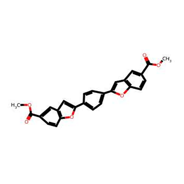 COC(=O)c1ccc2oc(-c3ccc(-c4cc5cc(C(=O)OC)ccc5o4)cc3)cc2c1